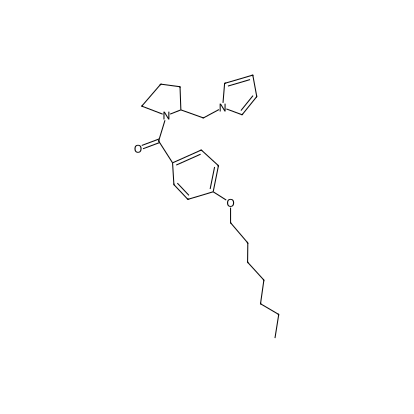 CCCCCCCOc1ccc(C(=O)N2CCCC2Cn2cccc2)cc1